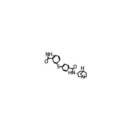 NC(=O)c1cccc(Sc2ccc(C(=O)N[C@@H]3C[C@H]4CCN(C4)C3)cc2)c1